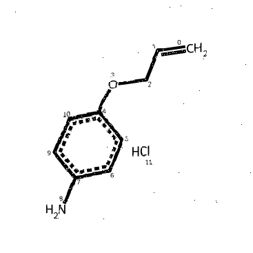 C=CCOc1ccc(N)cc1.Cl